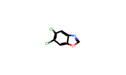 Clc1cc2n[c]oc2cc1Cl